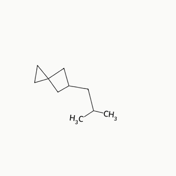 CC(C)CC1CC2(CC2)C1